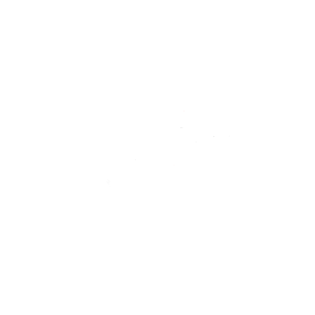 CCOC(=O)c1coc(-c2ccc(Br)c(Cl)c2)cc1=O